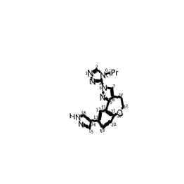 CC(C)n1cnnc1-n1cc2c(n1)-c1cc(-c3cn[nH]c3)ccc1OCC2